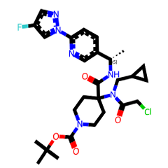 C[C@H](NC(=O)C1(N(CC2CC2)C(=O)CCl)CCN(C(=O)OC(C)(C)C)CC1)c1ccc(-n2cc(F)cn2)nc1